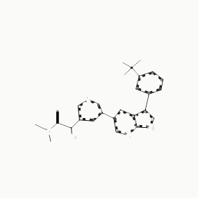 CN(C)C(=O)C(O)c1cncc(-c2cnc3[nH]cc(-c4cccc(C(F)(F)F)c4)c3c2)c1